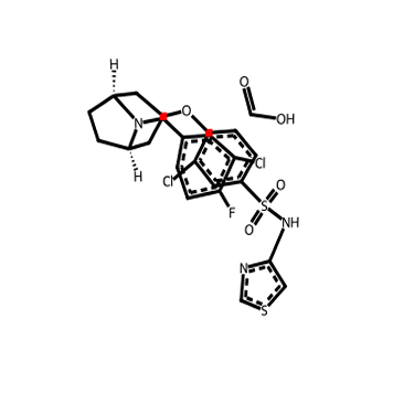 O=CO.O=S(=O)(Nc1cscn1)c1ccc(OC2C[C@H]3CC[C@@H](C2)N3Cc2ccc(F)c(Cl)c2)c(Cl)c1